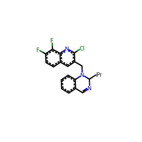 CC(C)C1N=Cc2ccccc2N1Cc1cc2ccc(F)c(F)c2nc1Cl